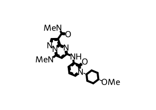 CNC(=O)c1cnn2c(NC)cc(Nc3cccn([C@H]4CC[C@@H](OC)CC4)c3=O)nc12